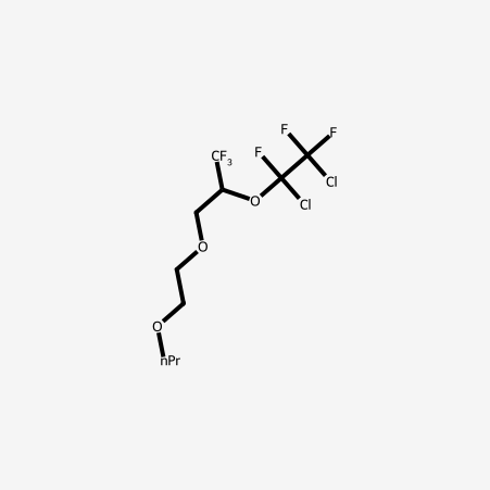 CCCOCCOCC(OC(F)(Cl)C(F)(F)Cl)C(F)(F)F